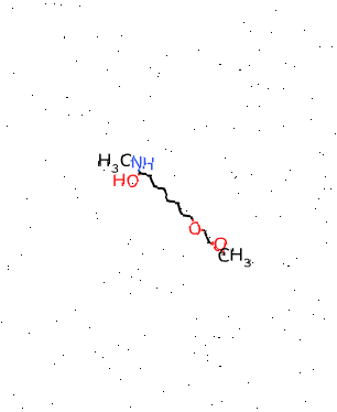 CNC(O)CCCCCCCOCCOC